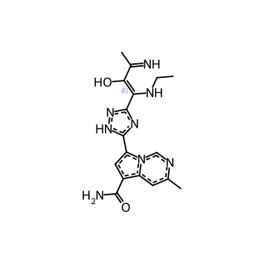 CCN/C(=C(/O)C(C)=N)c1n[nH]c(-c2cc(C(N)=O)c3cc(C)ncn23)n1